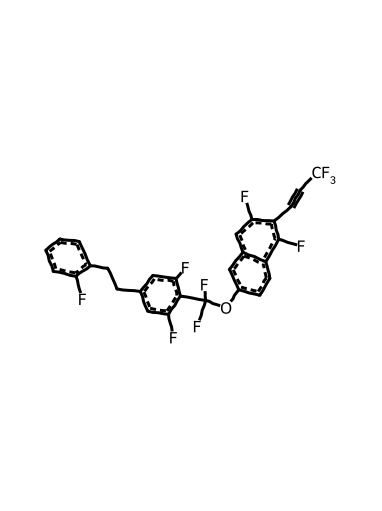 Fc1ccccc1CCc1cc(F)c(C(F)(F)Oc2ccc3c(F)c(C#CC(F)(F)F)c(F)cc3c2)c(F)c1